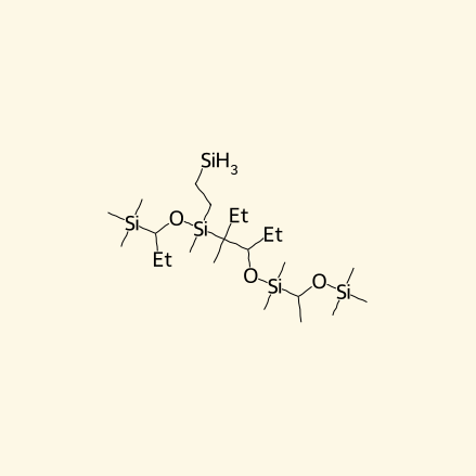 CCC(O[Si](C)(C)C(C)O[Si](C)(C)C)C(C)(CC)[Si](C)(CC[SiH3])OC(CC)[Si](C)(C)C